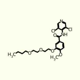 CCCCOCCOCCOc1cc(C(=O)Nc2c(Cl)cncc2Cl)ccc1OC